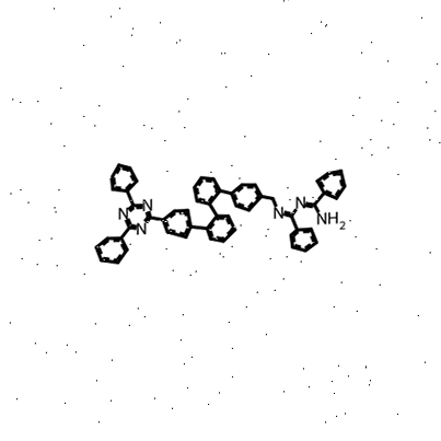 N/C(=N\C(=N/Cc1ccc(-c2ccccc2-c2ccccc2-c2ccc(-c3nc(-c4ccccc4)nc(-c4ccccc4)n3)cc2)cc1)c1ccccc1)c1ccccc1